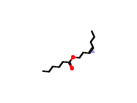 CCC/C=C\CCOC(=O)CCCCC